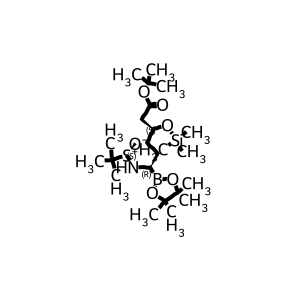 CC(C)(C)OC(=O)C[C@H](CC[C@H](N[S@+]([O-])C(C)(C)C)B1OC(C)(C)C(C)(C)O1)O[Si](C)(C)C